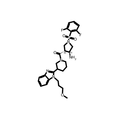 COCCCn1c(C2CCCN(C(=O)[C@@H]3CN(S(=O)(=O)c4c(F)cccc4F)C[C@H]3N)C2)nc2ccccc21